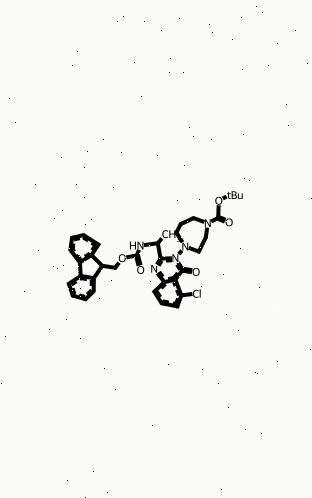 CC(NC(=O)OCC1c2ccccc2-c2ccccc21)c1nc2cccc(Cl)c2c(=O)n1N1CCCN(C(=O)OC(C)(C)C)CC1